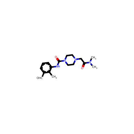 Cc1c(C=O)cccc1NC(=O)N1CCN(CC(=O)N(C)C)CC1